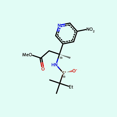 CCC(C)(C)[S@@+]([O-])N[C@@](C)(CC(=O)OC)c1cncc([N+](=O)[O-])c1